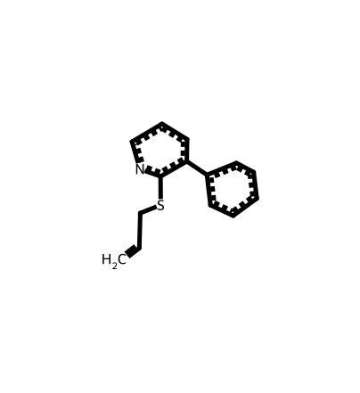 C=CCSc1ncccc1-c1ccccc1